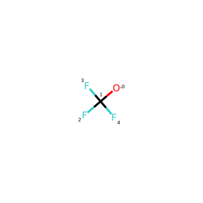 [O]C(F)(F)F